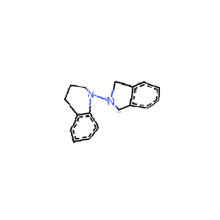 [C]1c2ccccc2CN1N1CCCc2ccccc21